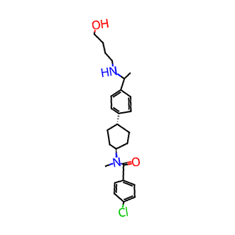 CC(NCCCCO)c1ccc([C@H]2CC[C@H](N(C)C(=O)c3ccc(Cl)cc3)CC2)cc1